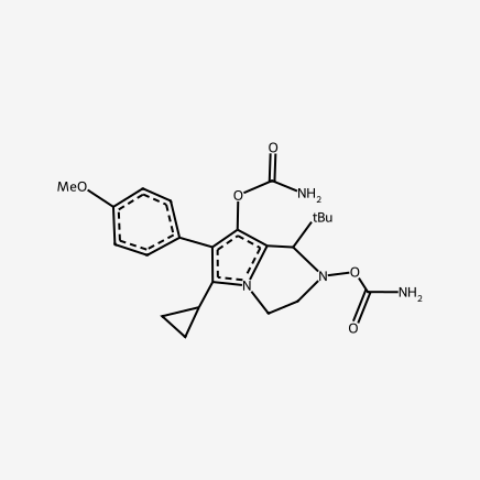 COc1ccc(-c2c(OC(N)=O)c3n(c2C2CC2)CCN(OC(N)=O)C3C(C)(C)C)cc1